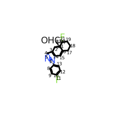 C[C@]12Cc3cnn(-c4ccc(F)cc4)c3C=C1CCC[C@@]2(F)C=O